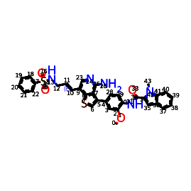 COc1cc(-c2csc3c(/C=C/CNS(=O)(=O)c4ccccc4)cnc(N)c23)ccc1NC(=O)c1cc2ccccc2n1C